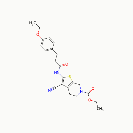 CCOC(=O)N1CCc2c(sc(NC(=O)CCc3ccc(OCC)cc3)c2C#N)C1